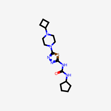 O=C(Nc1nnc(N2CCN(C3CCC3)CC2)s1)NC1CCCC1